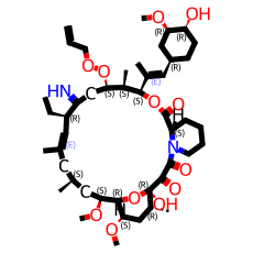 C=CCOO[C@H]1CC(=N)[C@H](CC)/C=C(\C)C[C@H](C)C[C@H](OC)[C@H]2O[C@@](O)(C(=O)C(=O)N3CCCC[C@H]3C(=O)O[C@H](/C(C)=C/[C@@H]3CC[C@@H](O)[C@H](OC)C3)[C@@H]1C)[C@H](C)C[C@@H]2OC